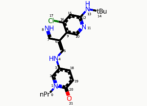 CCCn1cc(N/C=C(\C=N)c2cnc(NC(C)(C)C)cc2Cl)ccc1=O